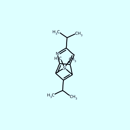 CC(C)C1=NC2=C3C(C(C)C)=C(C2=C1)[Si]3(C)C